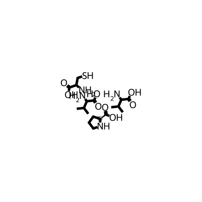 CC(C)C(N)C(=O)O.CC(C)C(N)C(=O)O.NC(CS)C(=O)O.O=C(O)[C@@H]1CCCN1